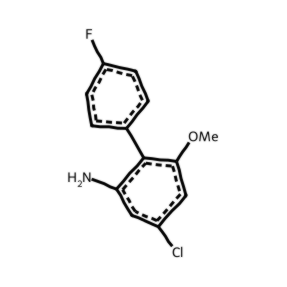 COc1cc(Cl)cc(N)c1-c1ccc(F)cc1